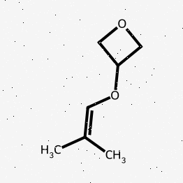 CC(C)=COC1COC1